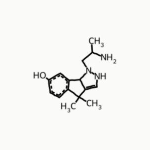 CC(N)CN1NC=C2C1c1cc(O)ccc1C2(C)C